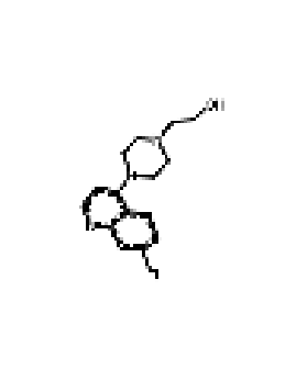 OCCN1CCN(c2ccnc3cc(Cl)ccc23)CC1